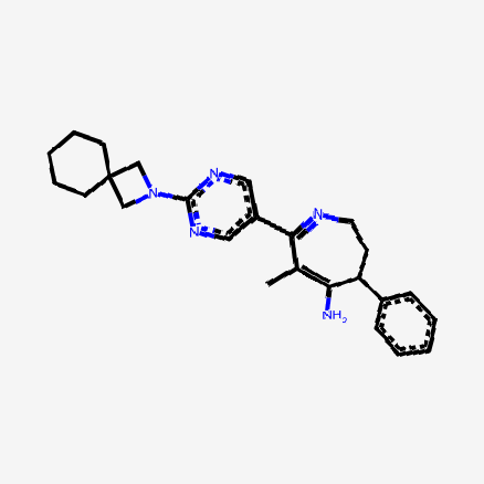 CC1=C(N)C(c2ccccc2)CCN=C1c1cnc(N2CC3(CCCCC3)C2)nc1